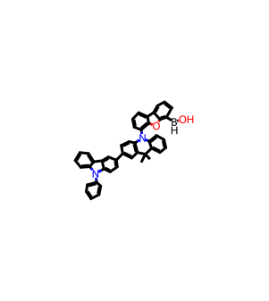 CC1(C)c2ccccc2N(c2cccc3c2oc2c(BO)cccc23)c2ccc(-c3ccc4c(c3)c3ccccc3n4-c3ccccc3)cc21